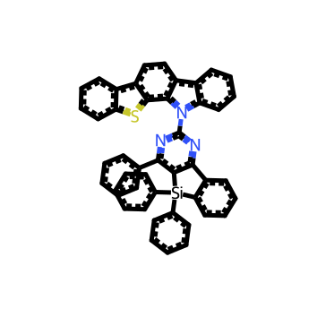 c1ccc(-c2nc(-n3c4ccccc4c4ccc5c6ccccc6sc5c43)nc3c2[Si](c2ccccc2)(c2ccccc2)c2ccccc2-3)cc1